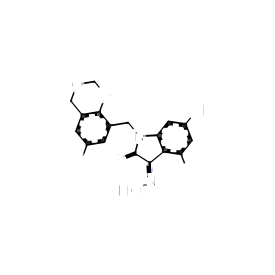 O=C1/C(=N\O)c2c(Cl)cc(Cl)cc2N1Cc1cc(F)cc2c1OCOC2